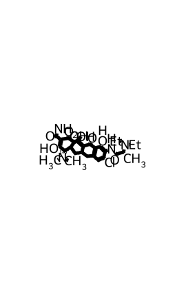 CCN(CC)C(C)C(=O)Nc1c(Cl)cc2c(c1O)C(=O)C1=C(O)C3(O)C(=O)C(C(N)=O)=C(O)[C@@H](N(C)C)C3CC1C2